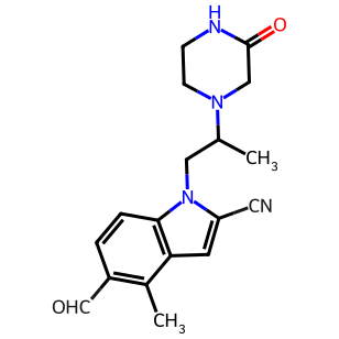 Cc1c(C=O)ccc2c1cc(C#N)n2CC(C)N1CCNC(=O)C1